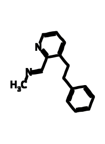 C/N=C/c1ncccc1CCc1ccccc1